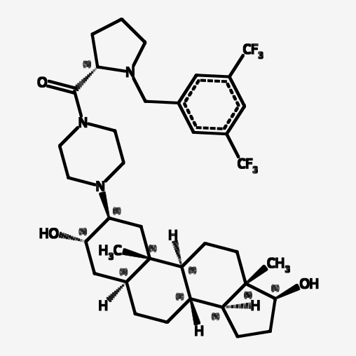 C[C@]12C[C@H](N3CCN(C(=O)[C@@H]4CCCN4Cc4cc(C(F)(F)F)cc(C(F)(F)F)c4)CC3)[C@@H](O)C[C@@H]1CC[C@@H]1[C@@H]2CC[C@]2(C)[C@@H](O)CC[C@@H]12